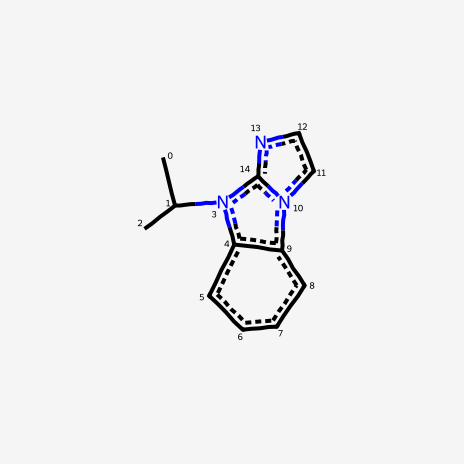 CC(C)n1c2ccccc2n2ccnc12